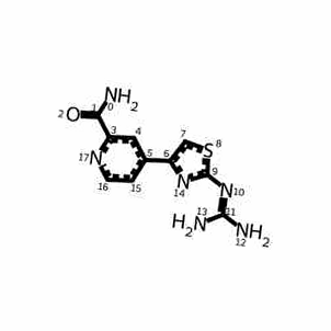 NC(=O)c1cc(-c2csc(N=C(N)N)n2)ccn1